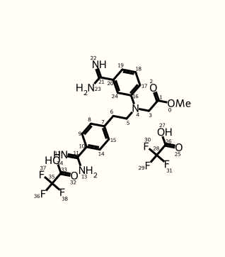 COC(=O)CN(CCc1ccc(C(=N)N)cc1)c1cccc(C(=N)N)c1.O=C(O)C(F)(F)F.O=C(O)C(F)(F)F